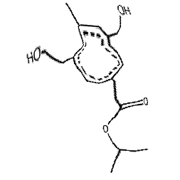 Cc1c(O)cc(C(=O)OC(C)C)cc1O